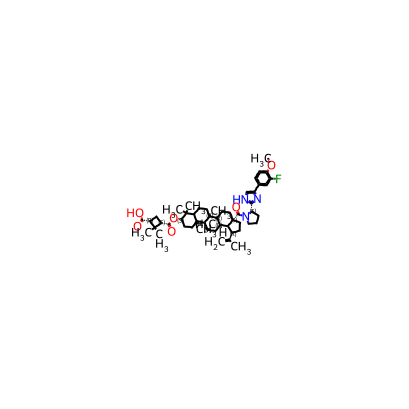 C=C(C)[C@@H]1CC[C@]2(C(=O)N3CCC[C@H]3c3nc(-c4ccc(OC)c(F)c4)c[nH]3)CC[C@]3(C)[C@H](CCC4[C@@]5(C)CC[C@H](OC(=O)[C@H]6C[C@@H](C(=O)O)C6(C)C)C(C)(C)C5CC[C@]43C)C12